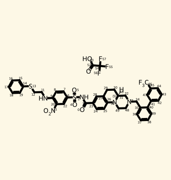 O=C(NS(=O)(=O)c1ccc(NCCSc2ccccc2)c([N+](=O)[O-])c1)c1ccc2c(c1)CC[C@H]1CN(Cc3ccccc3-c3cccc(C(F)(F)F)c3)CCN21.O=C(O)C(F)(F)F